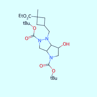 CCOC(=O)C1(C)CC(CN2C3C(O)CN(C(=O)OC(C)(C)C)C3CN2C(=O)OC(C)(C)C)C1